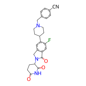 N#Cc1ccc(CN2CCC(c3cc4c(cc3F)C(=O)N(C3CCC(=O)NC3=O)C4)CC2)cc1